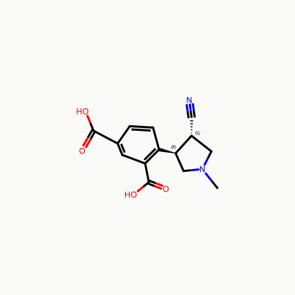 CN1C[C@@H](C#N)[C@H](c2ccc(C(=O)O)cc2C(=O)O)C1